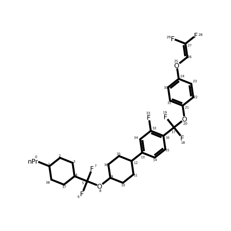 CCCC1CCC(C(F)(F)OC2CCC(c3ccc(C(F)(F)Oc4ccc(OC=C(F)F)cc4)c(F)c3)CC2)CC1